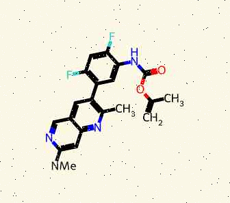 C=C(C)OC(=O)Nc1cc(-c2cc3cnc(NC)cc3nc2C)c(F)cc1F